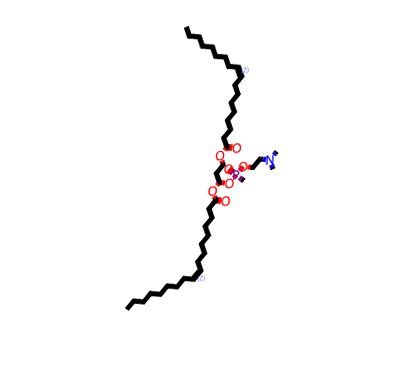 CCCCCCCC/C=C\CCCCCCCC(=O)OCCC(OC(=O)CCCCCCC/C=C\CCCCCCCC)OP(C)(=O)OCCN(C)C